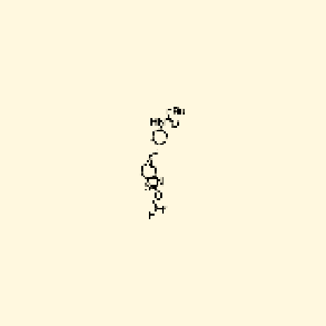 CCCCC(=O)N[C@H]1CC[C@H](CCN2CCc3sc(OCC(F)F)nc3C2)CC1